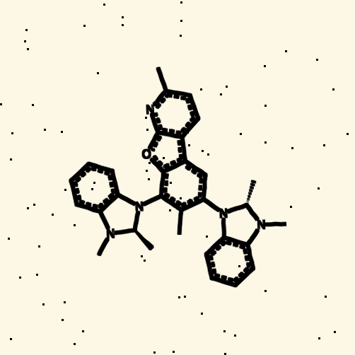 Cc1ccc2c(n1)oc1c(N3c4ccccc4N(C)[C@@H]3C)c(C)c(N3c4ccccc4N(C)[C@H]3C)cc12